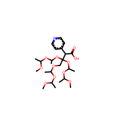 COC(C)OC(C)OCC(OC(C)OC(C)OC)(OC(C)OC(C)OC)C(C(=O)O)c1ccncc1